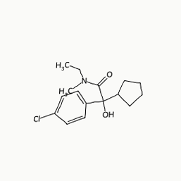 CCN(C)C(=O)C(O)(c1ccc(Cl)cc1)C1CCCC1